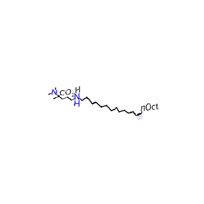 CCCCCCCC/C=C\CCCCCCCCCCCCNCCCC(C)(C(=O)O)N(C)C